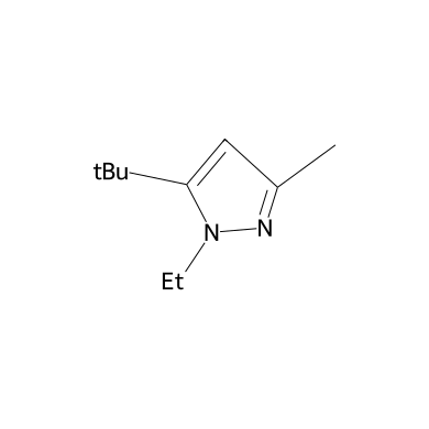 CCn1nc(C)cc1C(C)(C)C